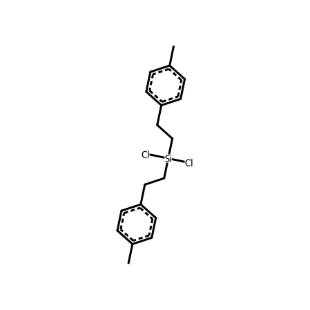 Cc1ccc(CC[Si](Cl)(Cl)CCc2ccc(C)cc2)cc1